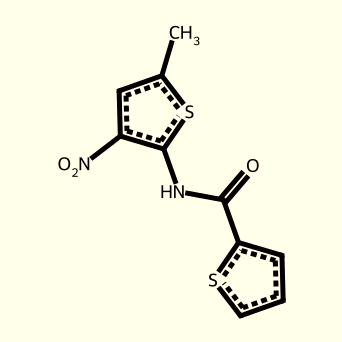 Cc1cc([N+](=O)[O-])c(NC(=O)c2cccs2)s1